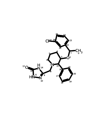 CC(OC1CCCN(Cc2n[nH]c(=O)[nH]2)C1c1ccccc1)c1cccc(Cl)c1